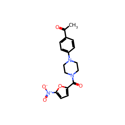 CC(=O)c1ccc(N2CCN(C(=O)c3ccc([N+](=O)[O-])o3)CC2)cc1